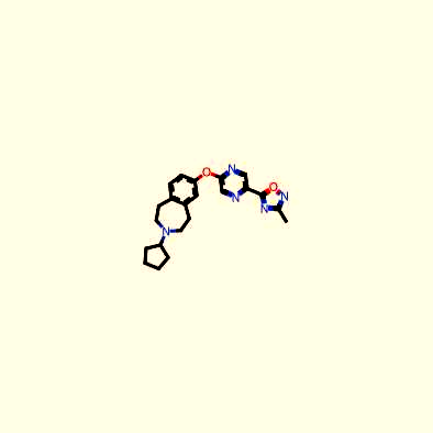 Cc1noc(-c2cnc(Oc3ccc4c(c3)CCN(C3CCCC3)CC4)cn2)n1